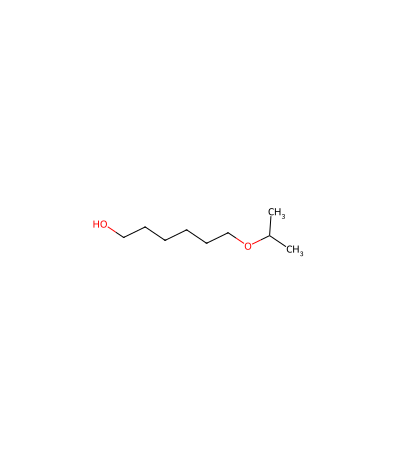 CC(C)OCCCCCCO